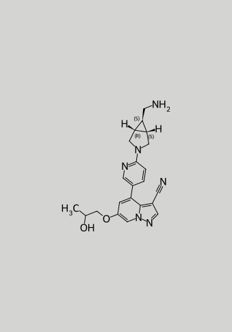 CC(O)COc1cc(-c2ccc(N3C[C@@H]4[C@@H](CN)[C@@H]4C3)nc2)c2c(C#N)cnn2c1